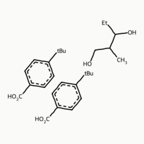 CC(C)(C)c1ccc(C(=O)O)cc1.CC(C)(C)c1ccc(C(=O)O)cc1.CCC(O)C(C)CO